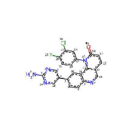 Nc1ncc(-c2ccc3ncc4ccc(=O)n(-c5ccc(F)c(Cl)c5)c4c3c2)cn1